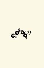 O=C(c1ccc(N2CCCCC2=O)cc1)N1CCC(C(=O)O)(c2ccc(F)cc2)CC1